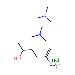 C=C(CCC(C)O)C(=O)O.CN(C)C.CN(C)C.Cl